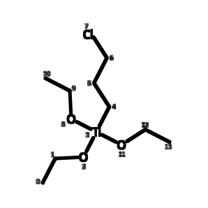 CC[O][Ti]([CH2]CCCl)([O]CC)[O]CC